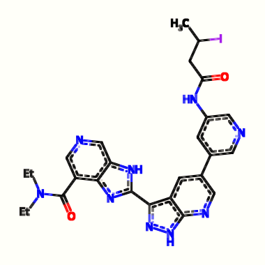 CCN(CC)C(=O)c1cncc2[nH]c(-c3n[nH]c4ncc(-c5cncc(NC(=O)CC(C)I)c5)cc34)nc12